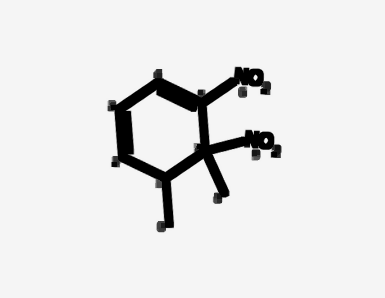 CC1C=CC=C([N+](=O)[O-])C1(C)[N+](=O)[O-]